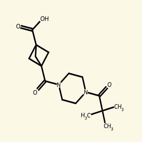 CC(C)(C)C(=O)N1CCN(C(=O)C23CC(C(=O)O)(C2)C3)CC1